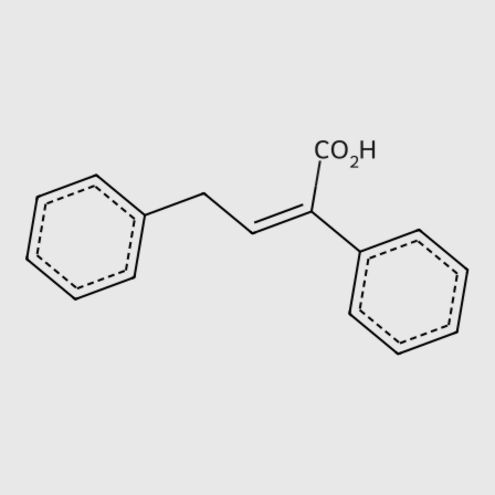 O=C(O)/C(=C\Cc1ccccc1)c1ccccc1